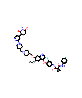 COc1cc2c(Oc3ccc(NC(=O)C4(C(=O)Nc5ccc(F)cc5)CC4)cc3F)ccnc2cc1OCC1CCN(CC2CCN(c3cc(C4CCC(=O)NC4=O)ccn3)CC2)CC1